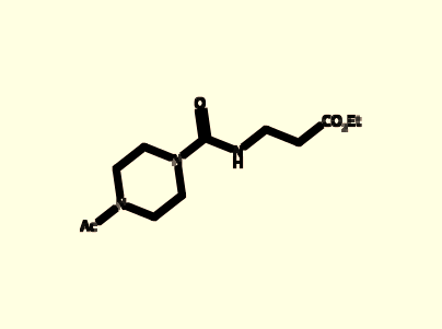 CCOC(=O)CCNC(=O)N1CCN(C(C)=O)CC1